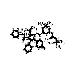 C=C(C[C@H]1C[C@@H](CCn2c(-c3ccc(F)cc3)c(-c3ccccc3)c(C(=O)Nc3ccccc3)c2C(C)C)CC(C)(C)O1)CC(C)(C)C